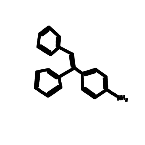 Nc1ccc(C(=Cc2ccccc2)c2ccccc2)cc1